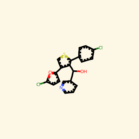 OC(c1cccnc1)c1c(-c2ccc(Cl)o2)csc1-c1ccc(Cl)cc1